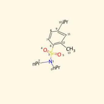 CCCN(CCC)S(=O)(=O)c1ccc(C(C)C)cc1C